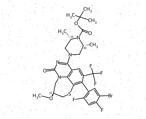 CO[C@@H]1CSc2c(-c3cc(Br)c(F)cc3F)c(C(F)(F)F)cc3c(N4C[C@@H](C)N(C(=O)OC(C)(C)C)[C@@H](C)C4)nc(=O)n(c23)C1